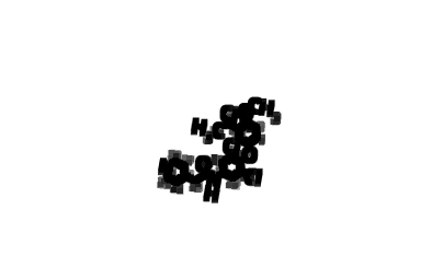 COc1ccc(Oc2c(Cl)cc(NC(=O)Cc3ccncc3)cc2Cl)cc1C(C)C